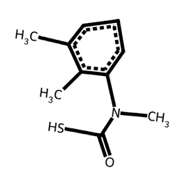 Cc1cccc(N(C)C(=O)S)c1C